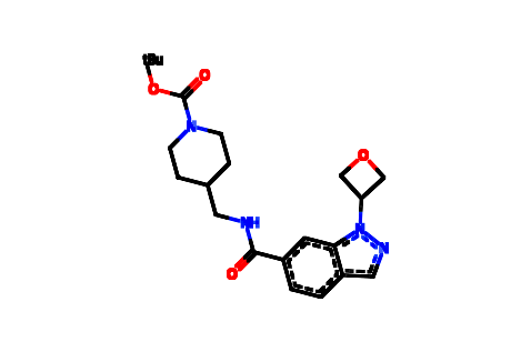 CC(C)(C)OC(=O)N1CCC(CNC(=O)c2ccc3cnn(C4COC4)c3c2)CC1